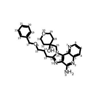 Nc1nc2cccnc2c2c1nc(CCCOCc1ccccc1)n2CC1(O)CCOCC1